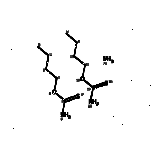 CCCCOC(N)=S.CCCCOC(N)=S.N